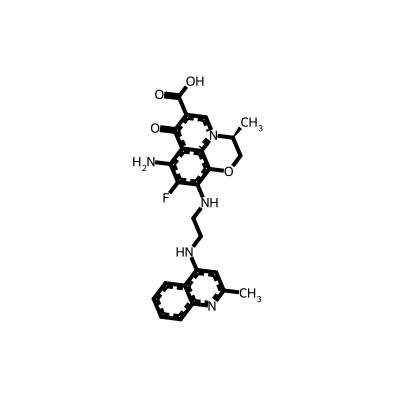 Cc1cc(NCCNc2c(F)c(N)c3c(=O)c(C(=O)O)cn4c3c2OC[C@@H]4C)c2ccccc2n1